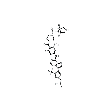 Cc1cc(Nc2nccn3c(-c4cn(CC(F)F)nc4C(F)(F)F)cnc23)cc(F)c1C(=O)N1CCN(C(=O)[C@@H]2[C@@H]3CNC[C@@H]32)CC1